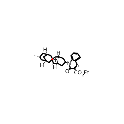 CCOC(=O)c1nc2ccccc2n([C@@H]2C[C@@H]3CC[C@@H](C)[C@H](C2)N3[C@H]2C[C@@H]3C[C@@H](C)C[C@@H](C3)C2)c1=O